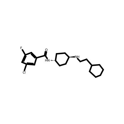 O=C(N[C@H]1CC[C@H](NCCC2CCCCC2)CC1)c1cc(F)cc(Cl)c1